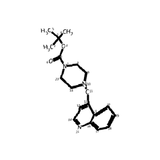 CC(C)(C)OC(=O)N1CCN(Cc2ccnc3ccccc23)CC1